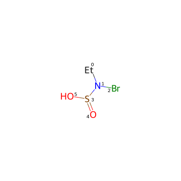 CCN(Br)S(=O)O